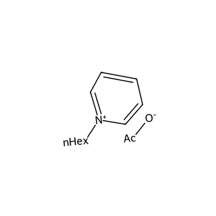 CC(=O)[O-].CCCCCC[n+]1ccccc1